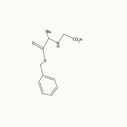 CC(C)(C)C(NCC(=O)O)C(=O)OCc1ccccc1